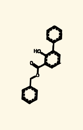 O=C(OCc1ccccc1)c1c[c]cc(-c2ccccc2)c1O